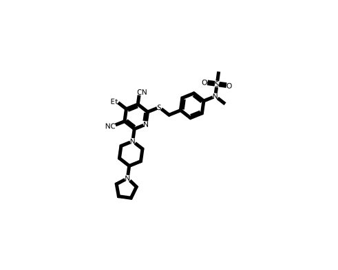 CCc1c(C#N)c(SCc2ccc(N(C)S(C)(=O)=O)cc2)nc(N2CCC(N3CCCC3)CC2)c1C#N